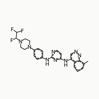 Cc1cccc2c(Nc3ccnc(Nc4ccc(N5CCN(C(F)C(F)F)CC5)cc4)n3)cnnc12